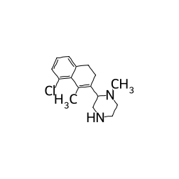 CC1=C(C2CNCCN2C)CCc2cccc(Cl)c21